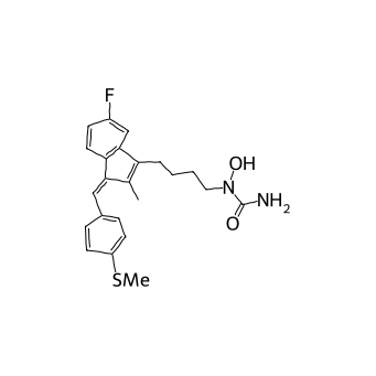 CSc1ccc(/C=C2\C(C)=C(CCCCN(O)C(N)=O)c3cc(F)ccc32)cc1